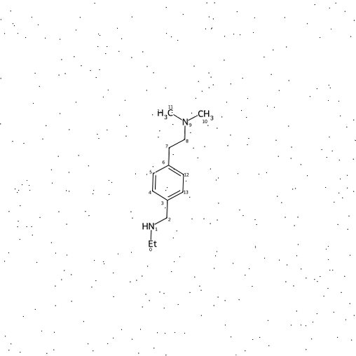 CCNCc1ccc(CCN(C)C)cc1